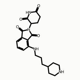 O=C1CCC(N2C(=O)c3cccc(NCCCC4CCNCC4)c3C2=O)C(=O)N1